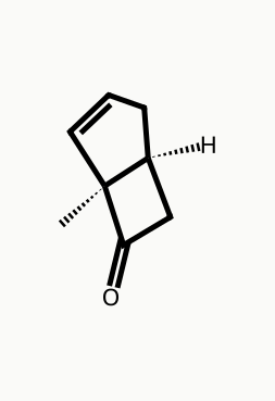 C[C@]12C=CC[C@H]1CC2=O